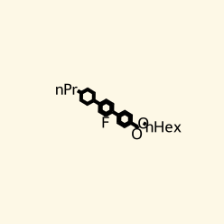 CCCCCCOC(=O)c1ccc(-c2ccc(C3CCC(CCC)CC3)cc2F)cc1